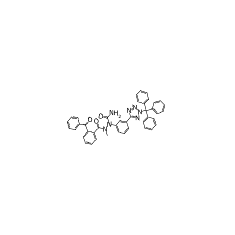 CN(C(=O)c1ccccc1C(=O)c1ccccc1)N(C(N)=O)c1cccc(-c2nnn(C(c3ccccc3)(c3ccccc3)c3ccccc3)n2)c1